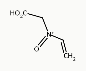 C=C[N+](=O)CC(=O)O